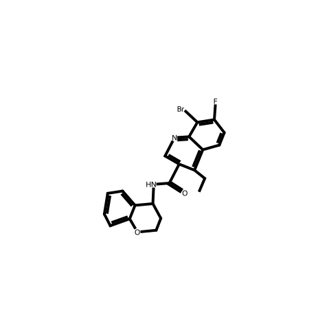 CCc1c(C(=O)NC2CCOc3ccccc32)cnc2c(Br)c(F)ccc12